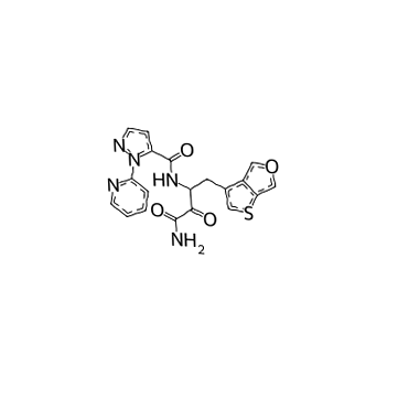 NC(=O)C(=O)C(Cc1csc2cocc12)NC(=O)c1ccnn1-c1ccccn1